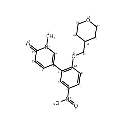 Cn1cc(-c2cc([N+](=O)[O-])ccc2OCC2CCOCC2)ccc1=O